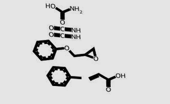 C=CC(=O)O.Cc1ccccc1.N=C=O.N=C=O.NC(=O)O.c1ccc(OCC2CO2)cc1